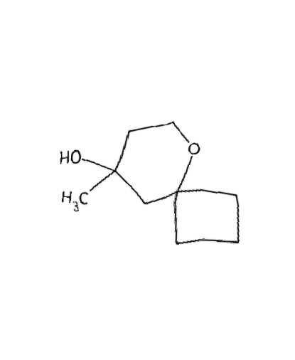 CC1(O)CCOC2(CCC2)C1